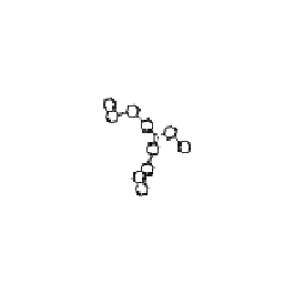 c1ccc(-c2cccc(N(c3ccc(-c4cccc(-c5cccc6ccccc56)c4)cc3)c3ccc(-c4ccc5c(ccc6ccccc65)c4)cc3)c2)cc1